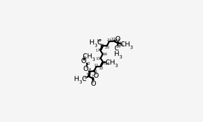 COCOC1=C(C)C(=O)OC1CC=C(C)CCC=C(C)CCC1OC1(C)C